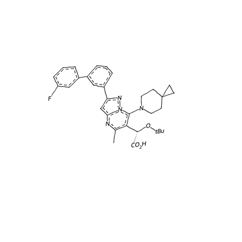 Cc1nc2cc(-c3cccc(-c4cccc(F)c4)c3)nn2c(N2CCC3(CC2)CC3)c1[C@H](OC(C)(C)C)C(=O)O